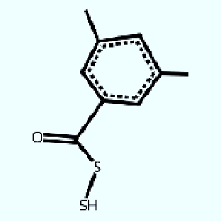 Cc1cc(C)cc(C(=O)SS)c1